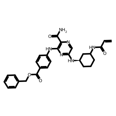 C=CC(=O)NC1CCC[C@@H](Nc2cnc(C(N)=O)c(Nc3ccc(C(=O)OCc4ccccc4)cc3)n2)C1